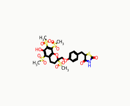 CS(=O)(=O)c1c(O)c(S(C)(=O)=O)c(S(C)(=O)=O)c2c1CCC(COc1ccc(CC3SC(=O)NC3=O)cc1)(S(C)(=O)=O)O2